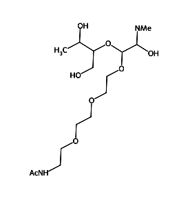 CNC(O)C(OCCOCCOCCNC(C)=O)OC(CO)C(C)O